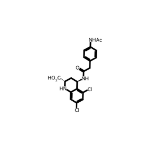 CC(=O)Nc1ccc(CC(=O)N[C@@H]2C[C@@H](C(=O)O)Nc3cc(Cl)cc(Cl)c32)cc1